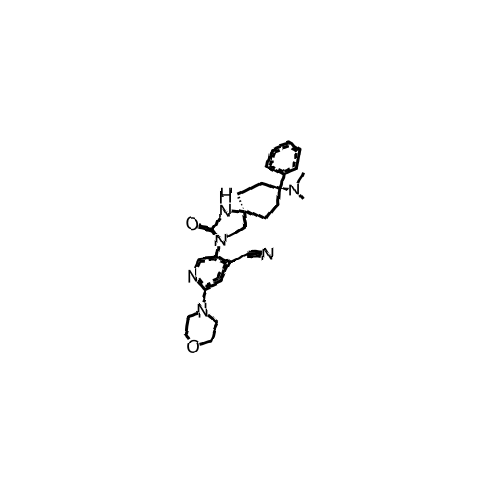 CN(C)[C@]1(c2ccccc2)CC[C@]2(CC1)CN(c1cnc(N3CCOCC3)cc1C#N)C(=O)N2